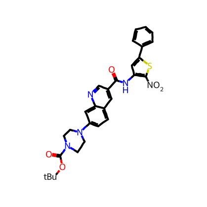 CC(C)(C)OC(=O)N1CCN(c2ccc3cc(C(=O)Nc4cc(-c5ccccc5)sc4[N+](=O)[O-])cnc3c2)CC1